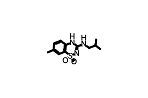 Cc1ccc2c(c1)S(=O)(=O)N=C(NCC(C)C)N2